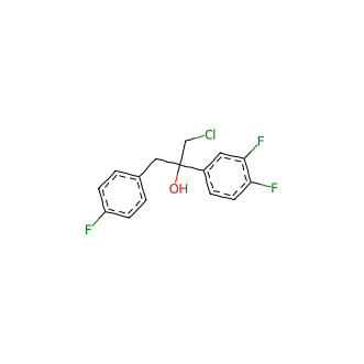 OC(CCl)(Cc1ccc(F)cc1)c1ccc(F)c(F)c1